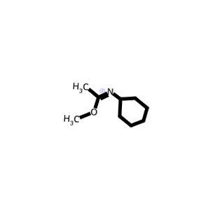 CO/C(C)=N\C1CCCCC1